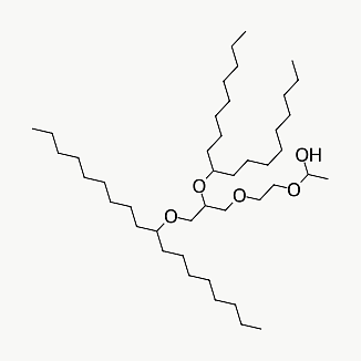 CCCCCCCCCC(CCCCCCCC)OCC(COCCOC(C)O)OC(CCCCCCCC)CCCCCCCCC